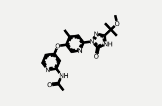 COC(C)(C)c1nn(-c2cc(C)c(Oc3ccnc(NC(C)=O)c3)cn2)c(=O)[nH]1